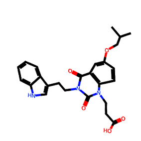 CC(C)COc1ccc2c(c1)c(=O)n(CCc1c[nH]c3ccccc13)c(=O)n2CCC(=O)O